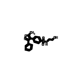 Cc1onc(-c2ccccc2)c1-c1ccc(S(=O)(=O)NCCO)cc1